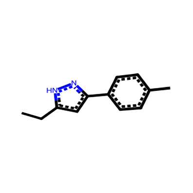 CCc1cc(-c2ccc(C)cc2)n[nH]1